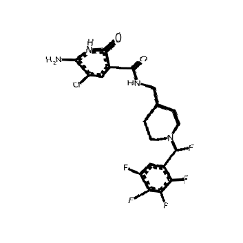 Nc1[nH]c(=O)c(C(=O)NCC2CCN(C(F)c3cc(F)c(F)c(F)c3F)CC2)cc1Cl